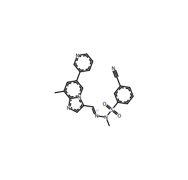 Cc1cc(-c2cccnc2)cn2c(/C=N/N(C)S(=O)(=O)c3cccc(C#N)c3)cnc12